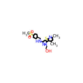 Cc1cc(C)c2c(n1)sc1c(NCc3ccc(S(C)(=O)=O)cc3)nn(CCO)c12